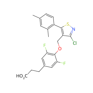 Cc1ccc(-c2snc(Cl)c2COc2c(F)cc(CCC(=O)O)cc2F)c(C)c1